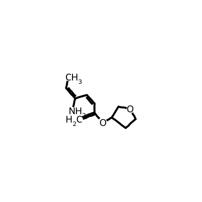 C=C(/C=C\C(N)=C/C)OC1CCOC1